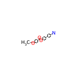 CCCOc1ccc(C(=O)Oc2ccc(-c3ccc(C#N)cc3)cc2)cc1